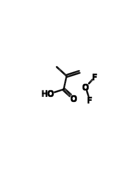 C=C(C)C(=O)O.FOF